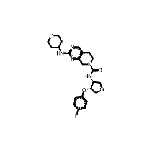 O=C(N[C@@H]1COC[C@@H]1Oc1ccc(F)cc1)N1CCc2cnc(NC3CCOCC3)nc2C1